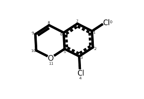 Clc1cc(Cl)c2c(c1)C=CCO2